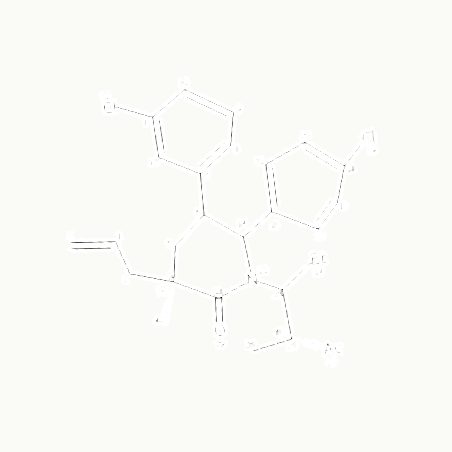 C=CC[C@@]1(C)CC(c2cccc(Cl)c2)C(c2ccc(Cl)cc2)N(C(CC)[C@@H](C)C(C)=O)C1=O